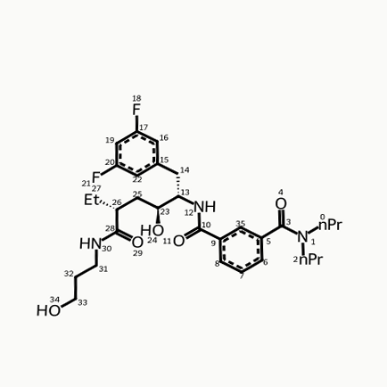 CCCN(CCC)C(=O)c1cccc(C(=O)N[C@@H](Cc2cc(F)cc(F)c2)[C@@H](O)C[C@@H](CC)C(=O)NCCCO)c1